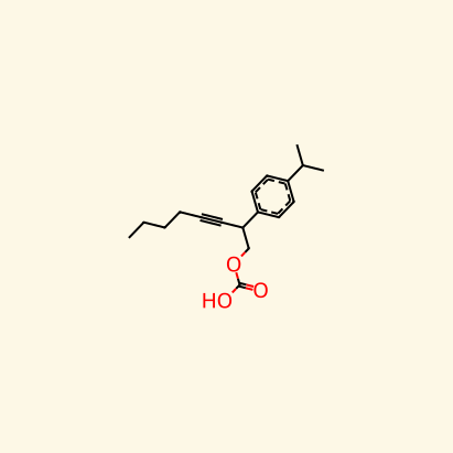 CCCCC#CC(COC(=O)O)c1ccc(C(C)C)cc1